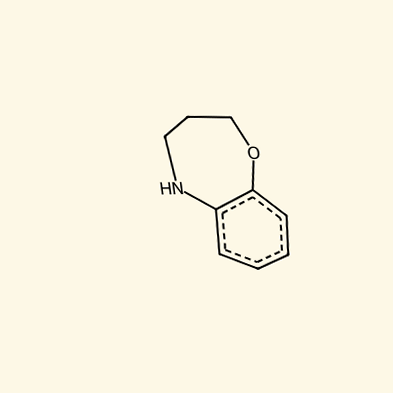 c1ccc2c(c1)NCCCO2